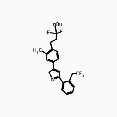 CCCCC(F)(F)CCc1ccc(C2=CC(c3ccccc3CC(F)(F)F)=NC2)cc1C